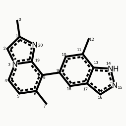 Cc1cn2ccc(C)c(-c3cc(C)c4[nH]ncc4c3)c2n1